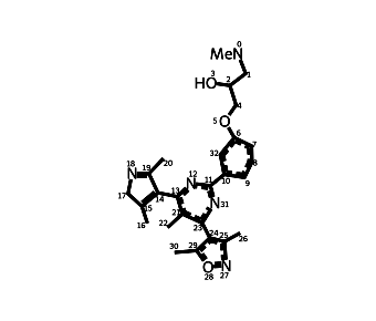 CNCC(O)COc1cccc(-c2nc(C3=C(C)CN=C3C)c(C)c(-c3c(C)noc3C)n2)c1